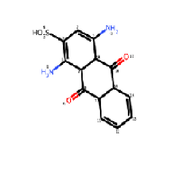 NC1=CC(S(=O)(=O)O)=C(N)C2C(=O)C3C=CC=CC3C(=O)C12